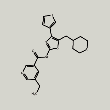 CCc1cncc(C(=O)Nc2nc(-c3ccoc3)c(CC3CCOCC3)s2)c1